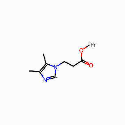 Cc1n[c]n(CCC(=O)OC(C)C)c1C